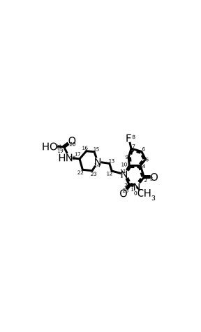 Cn1c(=O)c2ccc(F)cc2n(CCN2CCC(NC(=O)O)CC2)c1=O